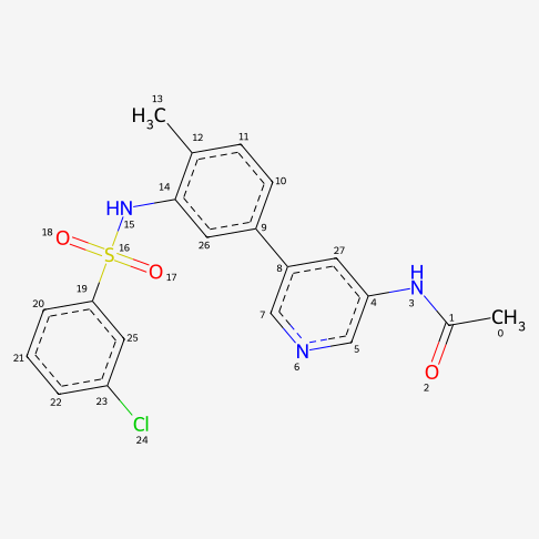 CC(=O)Nc1cncc(-c2ccc(C)c(NS(=O)(=O)c3cccc(Cl)c3)c2)c1